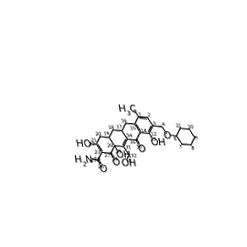 Cc1cc(COC2CCCCC2)c(O)c2c1CC1CC3CC(O)=C(C(N)=O)C(=O)C3(O)C(CO)=C1C2=O